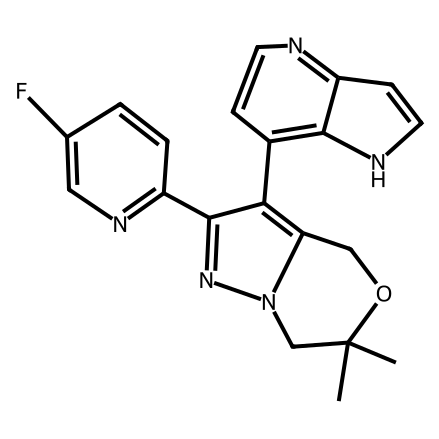 CC1(C)Cn2nc(-c3ccc(F)cn3)c(-c3ccnc4cc[nH]c34)c2CO1